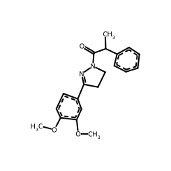 COc1ccc(C2=NN(C(=O)C(C)c3ccccc3)CC2)cc1OC